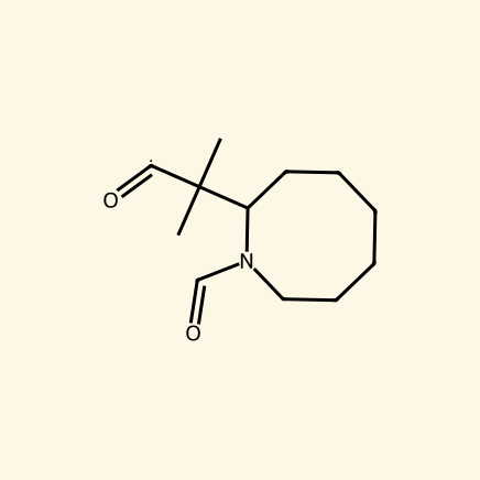 CC(C)([C]=O)C1CCCCCCN1C=O